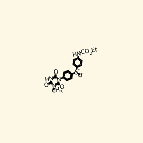 CCOC(=O)Nc1ccc([S+]([O-])c2ccc(-n3c(=O)[nH]c(=O)n(C)c3=O)cc2)cc1